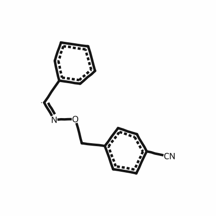 N#Cc1ccc(CO/N=[C]\c2ccccc2)cc1